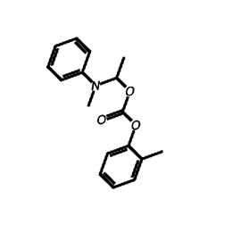 Cc1ccccc1OC(=O)OC(C)N(C)c1ccccc1